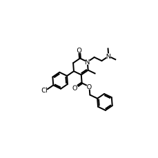 CC1=C(C(=O)OCc2ccccc2)C(c2ccc(Cl)cc2)CC(=O)N1CCN(C)C